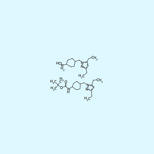 CCc1cc(CC)n(CC2CCC(N)CC2)n1.CCc1cc(CC)n(CC2CCC(NC(=O)OC(C)(C)C)CC2)n1.Cl